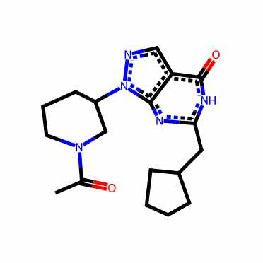 CC(=O)N1CCCC(n2ncc3c(=O)[nH]c(CC4CCCC4)nc32)C1